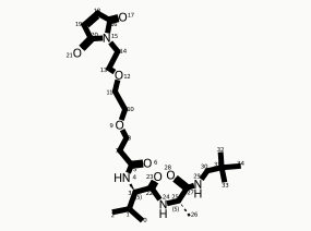 CC(C)[C@H](NC(=O)CCOCCOCCN1C(=O)C=CC1=O)C(=O)N[C@@H](C)C(=O)NCC(C)(C)C